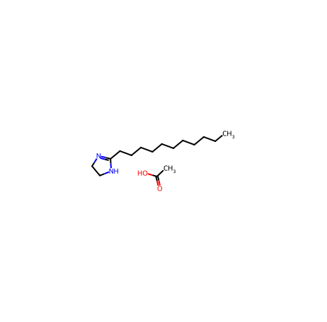 CC(=O)O.CCCCCCCCCCCC1=NCCN1